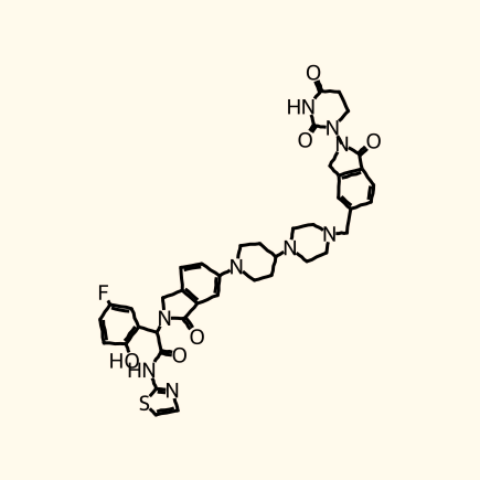 O=C1CCN(N2Cc3cc(CN4CCN(C5CCN(c6ccc7c(c6)C(=O)N(C(C(=O)Nc6nccs6)c6cc(F)ccc6O)C7)CC5)CC4)ccc3C2=O)C(=O)N1